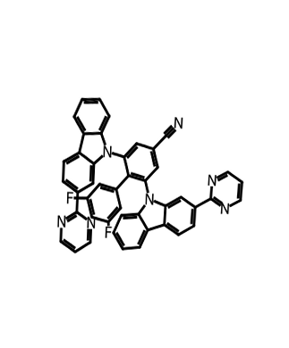 N#Cc1cc(-n2c3ccccc3c3ccc(-c4ncccn4)cc32)c(-c2cc(F)cc(F)c2)c(-n2c3ccccc3c3ccc(-c4ncccn4)cc32)c1